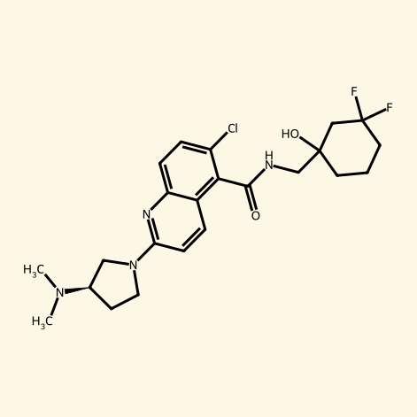 CN(C)[C@@H]1CCN(c2ccc3c(C(=O)NCC4(O)CCCC(F)(F)C4)c(Cl)ccc3n2)C1